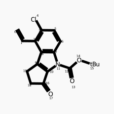 C=Cc1c(Cl)ccc2c1c1c(n2C(=O)OC(C)(C)C)C(=O)CC1